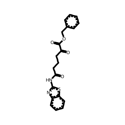 O=C(CCCC(=O)C(=O)OCc1ccccc1)Nc1nc2ccccc2s1